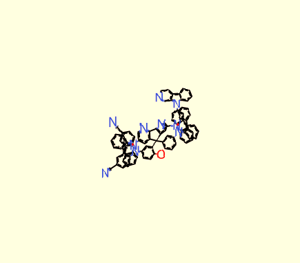 N#Cc1ccc2c(c1)c1cc(C#N)ccc1n2-c1ccc2c(c1)C1(c3cc(-n4c5ccccc5c5cc(-n6c7ccccc7c7ccncc76)ccc54)ccc3O2)c2cc(-n3c4ccccc4c4ccccc43)cnc2-c2ncc(-n3c4ccccc4c4ccccc43)cc21